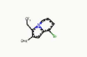 O=Cc1cc2c(Br)cccn2c1CC(F)(F)F